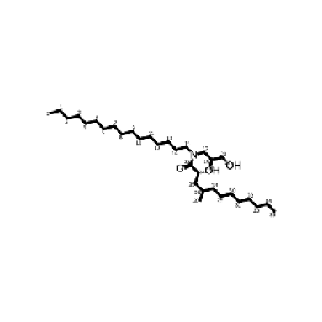 CCCCCCCCCCCCCCCCN(CC(O)CO)C(=O)CCC(C)CCCCCCCC